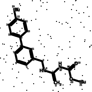 C=C(NCc1cccc(-c2ccc(C(C)(C)C)cc2)c1)NC(=O)OC(C)(C)C